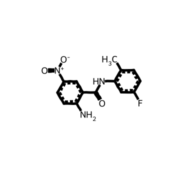 Cc1ccc(F)cc1NC(=O)c1cc([N+](=O)[O-])ccc1N